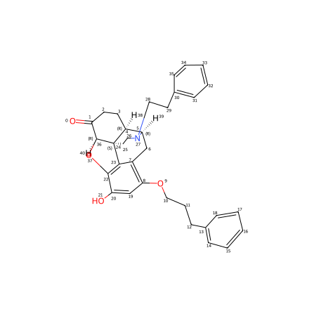 O=C1CC[C@H]2[C@H]3Cc4c(OCCCc5ccccc5)cc(O)c5c4[C@@]2(CCN3CCc2ccccc2)[C@H]1O5